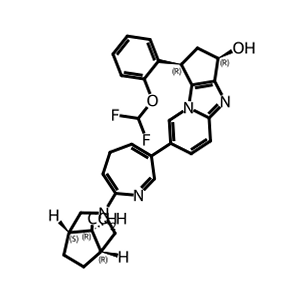 O=C(O)[C@@H]1[C@@H]2CC[C@H]1CN(C1=CCC=C(c3ccc4nc5c(n4c3)[C@@H](c3ccccc3OC(F)F)C[C@H]5O)C=N1)C2